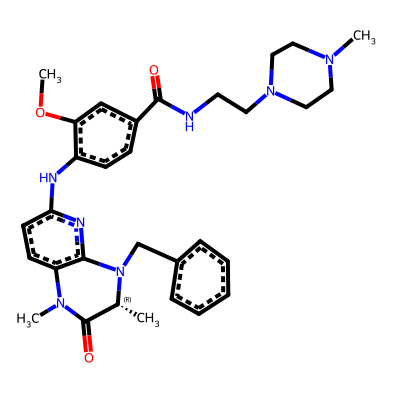 COc1cc(C(=O)NCCN2CCN(C)CC2)ccc1Nc1ccc2c(n1)N(Cc1ccccc1)[C@H](C)C(=O)N2C